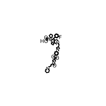 O=C(O)N[C@H]1CCC[C@@H]1C(CN1CCC1)(c1cccc(F)c1)C1CCN(CC2CN(c3ccc(S(=O)(=O)C4CN(C(=O)/C=C/CN5CCCCC5)C4)cc3)C2)CC1